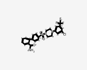 NC(=O)c1ccccc1-c1ccc(S(=O)(=O)N2CCN(c3cc(Cl)cc(C(F)(F)F)c3)CC2)cc1